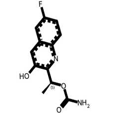 C[C@H](OC(N)=O)c1nc2ccc(F)cc2cc1O